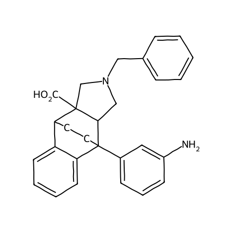 Nc1cccc(C23CCC(c4ccccc42)C2(C(=O)O)CN(Cc4ccccc4)CC32)c1